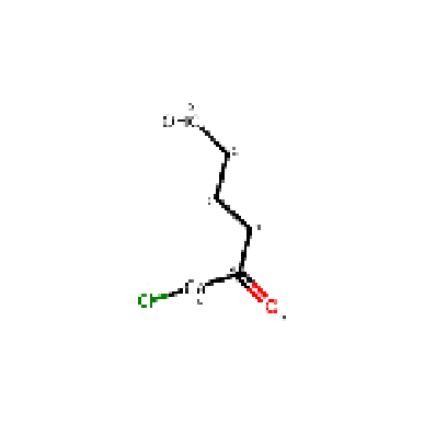 O=CCCC[C](=O)[Ca][Cl]